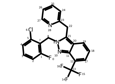 Fc1cccc(Cl)c1Cn1nc2c(C(F)(F)F)cccc2c1Cc1ccccn1